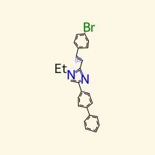 CCn1cc(-c2ccc(-c3ccccc3)cc2)nc1/C=C/c1ccc(Br)cc1